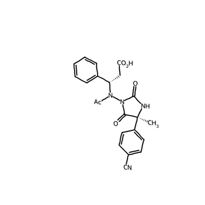 CC(=O)N([C@@H](CC(=O)O)c1ccccc1)N1C(=O)N[C@@](C)(c2ccc(C#N)cc2)C1=O